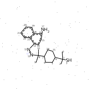 CC(C)(S)C1CCC(C(C)(C)/N=N\c2ccc(N)c3ccccc23)CC1